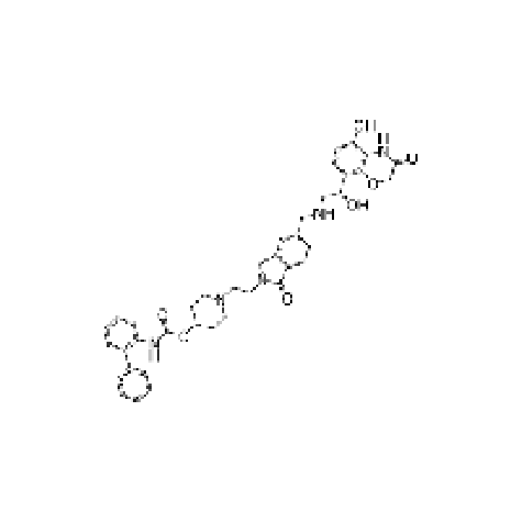 O=C1COc2c([C@@H](O)CNCc3ccc4c(c3)CN(CCN3CCC(OC(=O)Nc5ccccc5-c5ccccc5)CC3)C4=O)ccc(O)c2N1